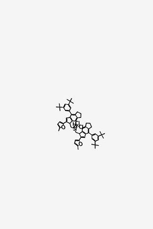 Cc1ccc(C2=Cc3c(cc4c(c3-c3cc(C(C)(C)C)cc(C(C)(C)C)c3)CCC4)C2C[SiH](CC2C(c3ccc(C)o3)=Cc3c2cc2c(c3-c3cc(C(C)(C)C)cc(C(C)(C)C)c3)CCC2)[Zr]([Cl])[Cl])o1